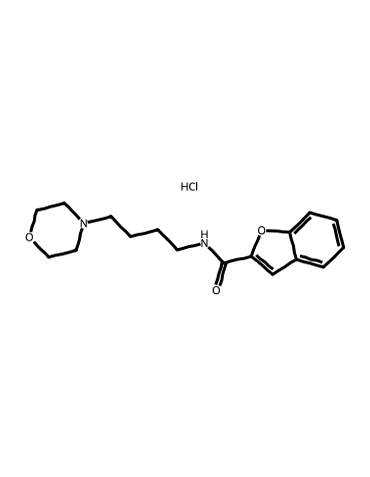 Cl.O=C(NCCCCN1CCOCC1)c1cc2ccccc2o1